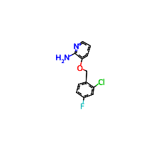 Nc1ncccc1OCc1ccc(F)cc1Cl